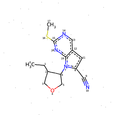 CCC1COCC1n1c(C#N)cc2cnc(SC)nc21